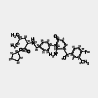 Cc1cc(C(=O)c2ccc(=O)n(-c3ccc(CNC(CC(C)C)C(=O)OC4CCCC4)cc3)c2N)ccc1F